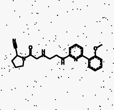 COc1ccccc1-c1cccc(NCCNCC(=O)N2CCCC2C#N)n1